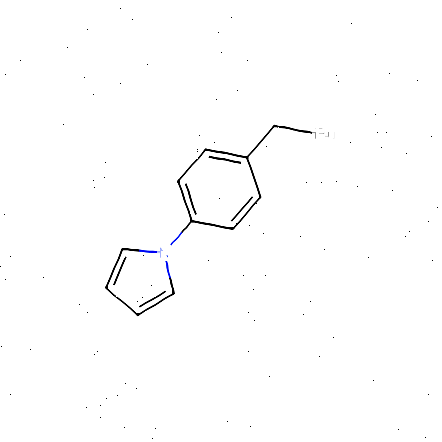 CCC(C)Cc1ccc(-n2cccc2)cc1